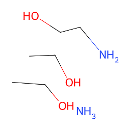 CCO.CCO.N.NCCO